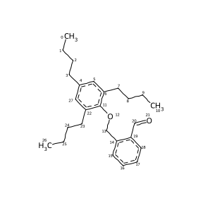 CCCCc1cc(CCCC)c(OCc2ccccc2C=O)c(CCCC)c1